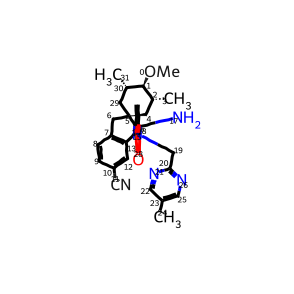 CO[C@H]1[C@H](C)C[C@@]2(Cc3ccc(C#N)cc3[C@]23N=C(N)N(Cc2ncc(C)cn2)C3=O)C[C@@H]1C